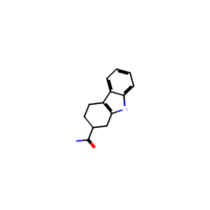 NC(=O)C1CCc2c([nH]c3ccccc23)C1